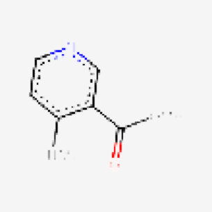 CNc1ccncc1C(=O)OC